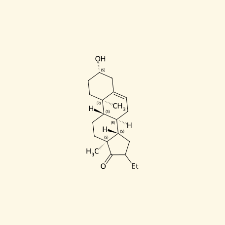 CCC1C[C@H]2[C@@H]3CC=C4C[C@@H](O)CC[C@]4(C)[C@H]3CC[C@]2(C)C1=O